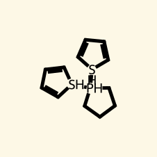 C1=C[SH]([PH]2([SH]3C=CC=C3)CCCC2)C=C1